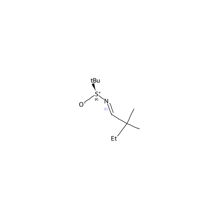 CCC(C)(C)/C=N/[S@@+]([O-])C(C)(C)C